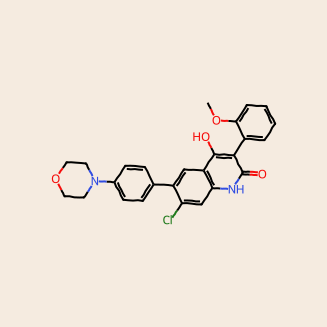 COc1ccccc1-c1c(O)c2cc(-c3ccc(N4CCOCC4)cc3)c(Cl)cc2[nH]c1=O